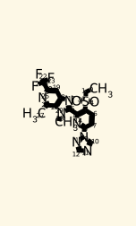 CCS(=O)(=O)c1ccc(-n2cncn2)nc1-c1nc2cc(C(F)(F)F)nc(C)c2n1C